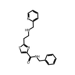 O=C(NCc1ccccc1)c1csc(CCNCc2ccccn2)n1